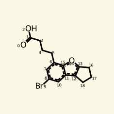 O=C(O)CCCc1cc(Br)cc2c3c(oc12)CCC3